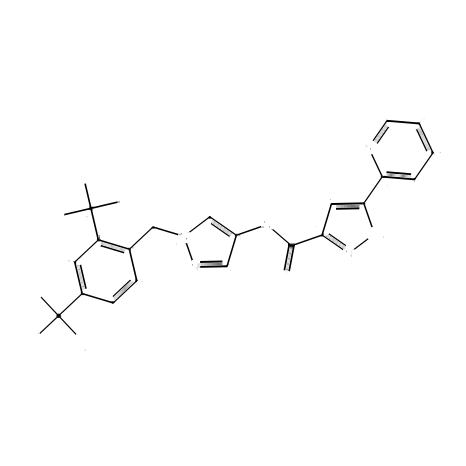 O=C(Nc1cnn(Cc2ccc(C(F)(F)F)cc2C(F)(F)F)c1)c1cc(-c2ccccn2)on1